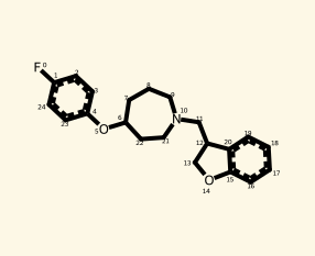 Fc1ccc(OC2CCCN(CC3COc4ccccc43)CC2)cc1